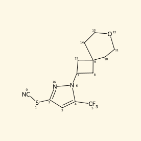 N#CSc1cc(C(F)(F)F)n(C2CC3(CCOCC3)C2)n1